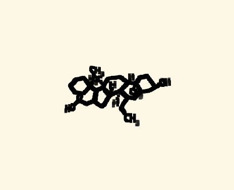 CCC1C=C2CC(O)CC[C@]2(C)[C@@H]2CC[C@]3(C)C(C4(OC)CCCCC4)=C(CC(=O)O)C[C@H]3[C@H]12